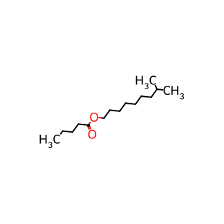 CCCCC(=O)OCCCCCCCC(C)C